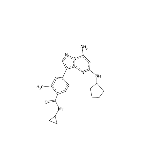 Cc1cc(-c2cnn3c(N)cc(NC4CCCC4)nc23)ccc1C(=O)NC1CC1